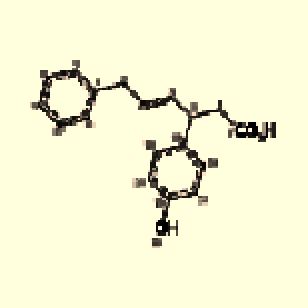 O=C(O)CC(C=CCc1ccccc1)c1ccc(O)cc1